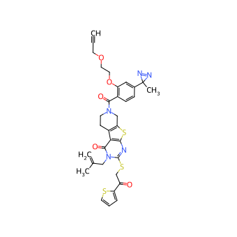 C#CCOCCOc1cc(C2(C)N=N2)ccc1C(=O)N1CCc2c(sc3nc(SCC(=O)c4cccs4)n(CC(=C)C)c(=O)c23)C1